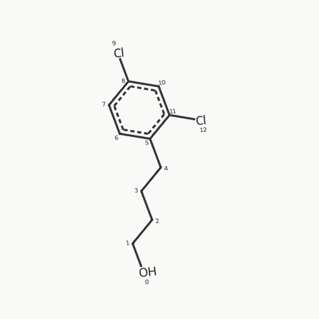 OCCCCc1ccc(Cl)cc1Cl